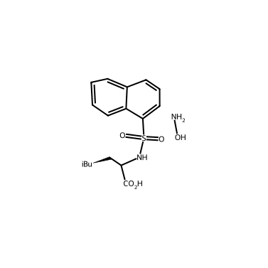 CC[C@H](C)CC(NS(=O)(=O)c1cccc2ccccc12)C(=O)O.NO